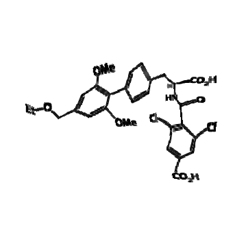 CCOCc1cc(OC)c(-c2ccc(C[C@H](NC(=O)c3c(Cl)cc(C(=O)O)cc3Cl)C(=O)O)cc2)c(OC)c1